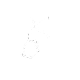 O=P(O)(O)Oc1ccccc1.[Ce]